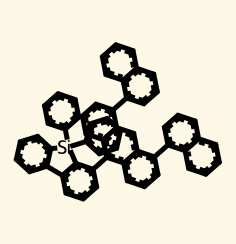 c1ccc([Si]2(c3ccccc3)c3ccccc3-c3cccc(-c4c5cccc(-c6cccc7ccccc67)c5cc5c(-c6cccc7ccccc67)cccc45)c32)cc1